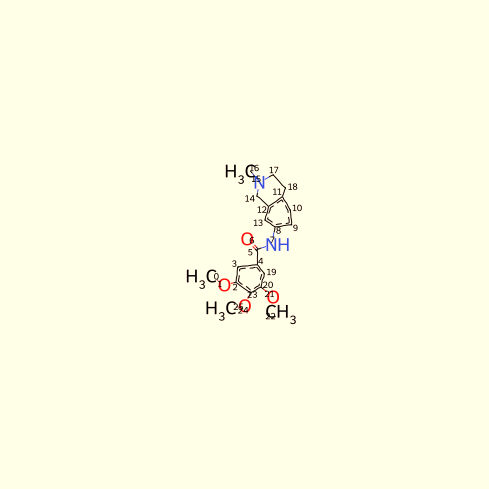 COc1cc(C(=O)Nc2ccc3c(c2)CN(C)CC3)cc(OC)c1OC